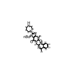 CCCCn1c(N2CCCNCC2)nc2c1c(=O)n(Cc1nc(C)c3ccccc3n1)c(=O)n2C